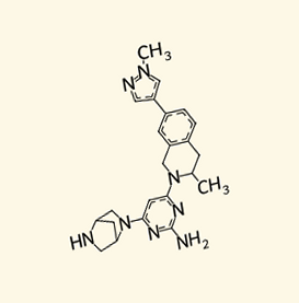 CC1Cc2ccc(-c3cnn(C)c3)cc2CN1c1cc(N2CC3CC2CN3)nc(N)n1